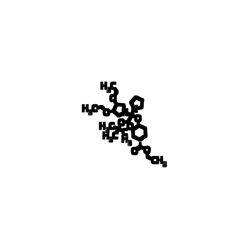 CCOC(=O)[C@H]1CC[C@H](OC(C(=O)OC(C)(C)C)(N2CCCC2)N2C[C@H](OCC)[C@@H](OCC)C2)CC1